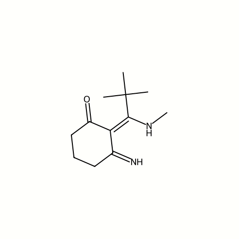 CN/C(=C1\C(=N)CCCC1=O)C(C)(C)C